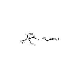 CO[Si](C)(C)CCSCC(=O)O